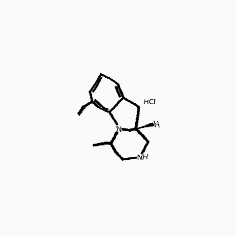 Cc1cccc2c1N1C(C)CNC[C@H]1C2.Cl